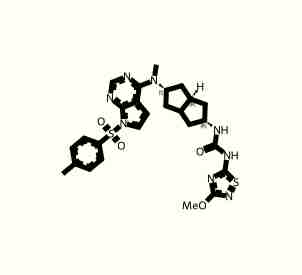 COc1nsc(NC(=O)N[C@@H]2CC3C[C@H](N(C)c4ncnc5c4ccn5S(=O)(=O)c4ccc(C)cc4)C[C@H]3C2)n1